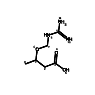 CC(CC(=O)O)OCNC(=N)N